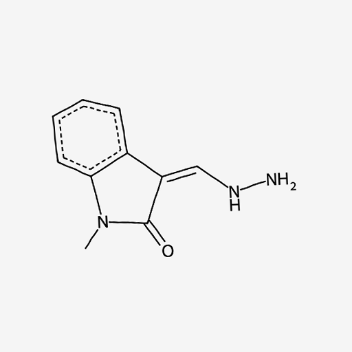 CN1C(=O)C(=CNN)c2ccccc21